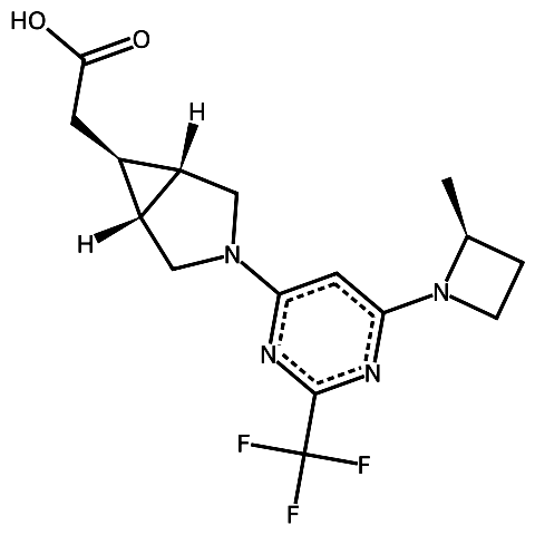 C[C@H]1CCN1c1cc(N2C[C@@H]3[C@@H](CC(=O)O)[C@@H]3C2)nc(C(F)(F)F)n1